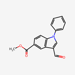 COC(=O)c1ccc2c(c1)c(C=O)cn2-c1ccccc1